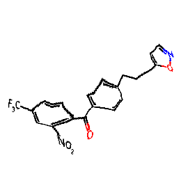 O=C(c1ccc(CCc2ccno2)cc1)c1ccc(C(F)(F)F)cc1[N+](=O)[O-]